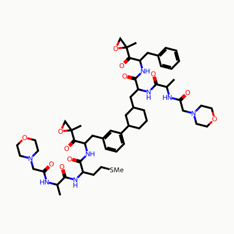 CSCCC(NC(=O)C(C)NC(=O)CN1CCOCC1)C(=O)NC(Cc1cccc(C2CCCC(CC(NC(=O)C(C)NC(=O)CN3CCOCC3)C(=O)NC(Cc3ccccc3)C(=O)C3(C)CO3)C2)c1)C(=O)C1(C)CO1